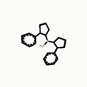 CB(C1CCCC1c1ccccc1)C1CCCC1c1ccccc1